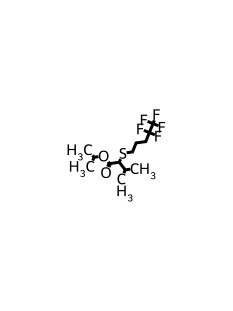 CC(C)OC(=O)C(SCCCC(F)(F)C(F)(F)F)C(C)C